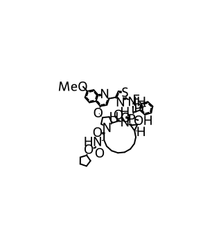 COc1ccc2c(O[C@@H]3C[C@H]4C(=O)N[C@]5(P(=O)(O)Cc6ccccc6F)C[C@H]5CCCCCCC[C@H](NC(=O)OC5CCCC5)C(=O)N4C3)cc(-c3csc(NC(C)C)n3)nc2c1